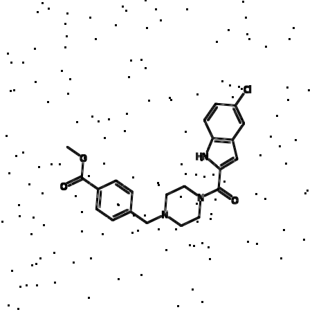 COC(=O)c1ccc(CN2CCN(C(=O)c3cc4cc(Cl)ccc4[nH]3)CC2)cc1